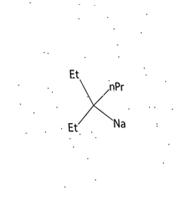 CCC[C]([Na])(CC)CC